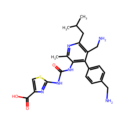 Cc1nc(CC(C)C)c(CN)c(-c2ccc(CN)cc2)c1NC(=O)Nc1nc(C(=O)O)cs1